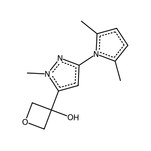 Cc1ccc(C)n1-c1cc(C2(O)COC2)n(C)n1